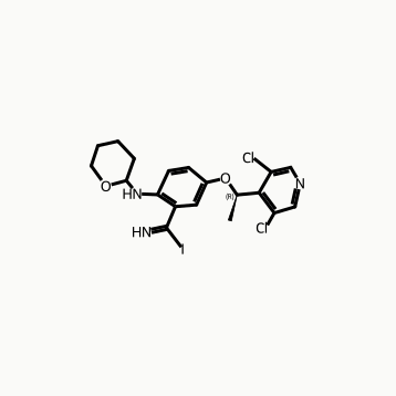 C[C@@H](Oc1ccc(NC2CCCCO2)c(C(=N)I)c1)c1c(Cl)cncc1Cl